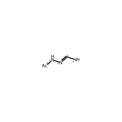 CC(=O)NN=CC(C)C